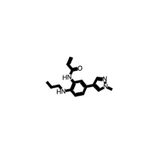 C=CC(=O)Nc1cc(-c2cnn(C)c2)ccc1NCCC